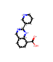 O=C(O)c1cccc2cnc(-c3cccnc3)nc12